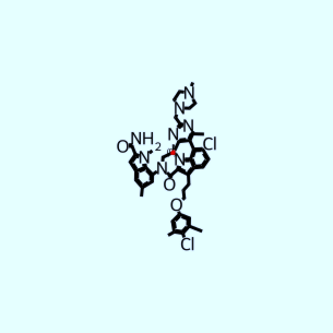 Cc1cc(N2C[C@@H](C)n3c(c(CCCOc4cc(C)c(Cl)c(C)c4)c4ccc(Cl)c(-c5c(C)nc(CN6CCN(C)CC6)nc5C)c43)C2=O)c2c(c1)cc(C(N)=O)n2C